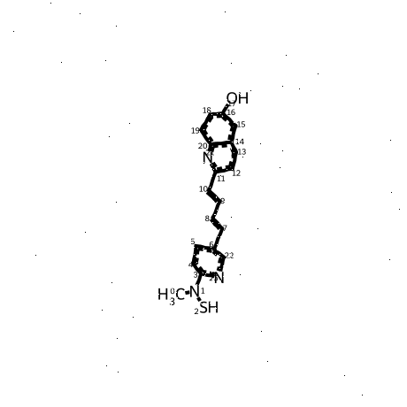 CN(S)c1ccc(/C=C/C=C/c2ccc3cc(O)ccc3n2)cn1